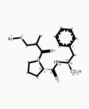 CC(=O)SCC(C)C(=O)N1CCC[C@H]1C(=O)N[C@@H](Cc1ccccc1)C(=O)O